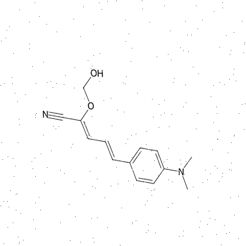 CN(C)c1ccc(/C=C/C=C(/C#N)OCO)cc1